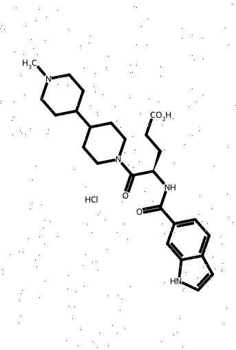 CN1CCC(C2CCN(C(=O)[C@@H](CCC(=O)O)NC(=O)c3ccc4cc[nH]c4c3)CC2)CC1.Cl